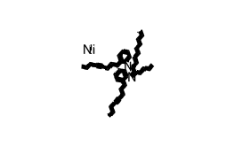 CCCC#CCCCc1ccccc1N=C(CCCC)C(CCCCCCCC)=Nc1ccccc1CCCC#CCCC.[Ni]